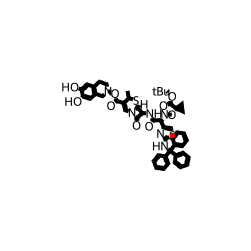 CC1S[C@@H]2C(NC(=O)C(=NOC3(C(=O)OC(C)(C)C)CC3)c3csc(NC(c4ccccc4)(c4ccccc4)c4ccccc4)n3)C(=O)N2C=C1C(=O)ON1CCc2cc(O)c(O)cc2C1